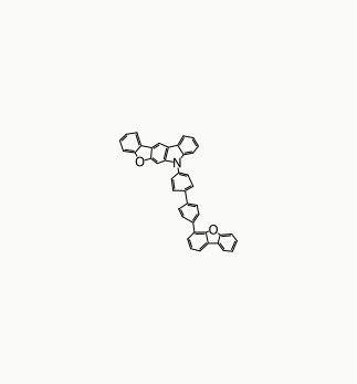 c1ccc2c(c1)oc1cc3c(cc12)c1ccccc1n3-c1ccc(-c2ccc(-c3cccc4c3oc3ccccc34)cc2)cc1